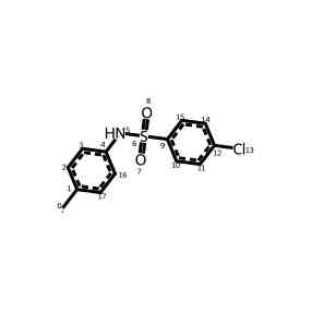 [CH2]c1ccc(NS(=O)(=O)c2ccc(Cl)cc2)cc1